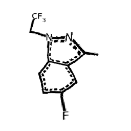 Cc1nn(CC(F)(F)F)c2ccc(F)cc12